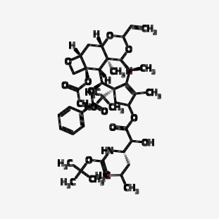 C=CC1O[C@H]2C[C@H]3OC[C@@]3(OC(C)=O)[C@H]3[C@H](OC(=O)c4ccccc4)[C@]4(C(C)(C)O)CC(OC(=O)C(O)[C@H](CC(C)C)NC(=O)OC(C)(C)C)C(C)=C4[C@H](C)[C@H](O1)[C@]23C